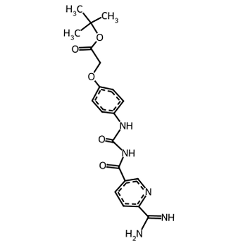 CC(C)(C)OC(=O)COc1ccc(NC(=O)NC(=O)c2ccc(C(=N)N)nc2)cc1